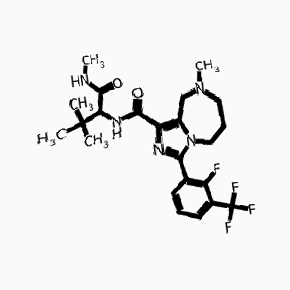 CNC(=O)C(NC(=O)c1nc(-c2cccc(C(F)(F)F)c2F)n2c1CN(C)CCC2)C(C)(C)C